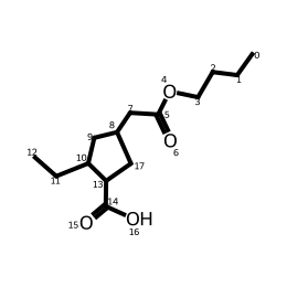 CCCCOC(=O)CC1CC(CC)C(C(=O)O)C1